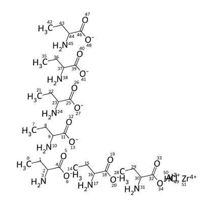 CCC(N)C(=O)[O-].CCC(N)C(=O)[O-].CCC(N)C(=O)[O-].CCC(N)C(=O)[O-].CCC(N)C(=O)[O-].CCC(N)C(=O)[O-].CCC(N)C(=O)[O-].Cl.[Al+3].[Zr+4]